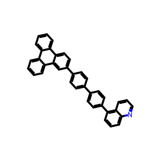 c1cc(-c2ccc(-c3ccc(-c4ccc5c6ccccc6c6ccccc6c5c4)cc3)cc2)c2cccnc2c1